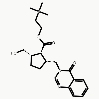 CS(C)(C)CCOC(=O)[C@@H]1[C@@H](CO)CC[C@H]1Cn1nnc2ccccc2c1=O